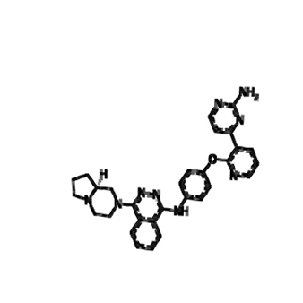 Nc1nccc(-c2cccnc2Oc2ccc(Nc3nnc(N4CCN5CCC[C@H]5C4)c4ccccc34)cc2)n1